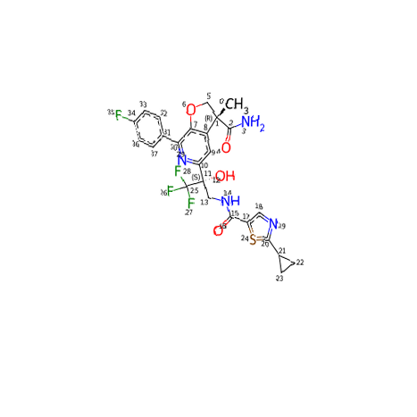 C[C@]1(C(N)=O)COc2c1cc([C@@](O)(CNC(=O)c1cnc(C3CC3)s1)C(F)(F)F)nc2-c1ccc(F)cc1